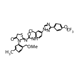 COCc1ccc(C)cc1N1C(=O)CSC1=NC(=O)Nc1ccc(-n2cnc(-c3ccc(OC(F)(F)F)cc3)n2)cc1Cl